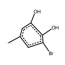 [CH2]c1cc(O)c(O)c(Br)c1